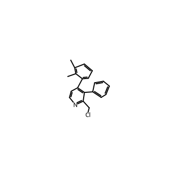 Cc1cccc(-c2ccnc(CCl)c2-c2ccccc2)c1C